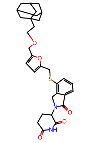 O=C1CCC(N2Cc3c(SCc4ccc(COCCC56CC7CC(CC(C7)C5)C6)o4)cccc3C2=O)C(=O)N1